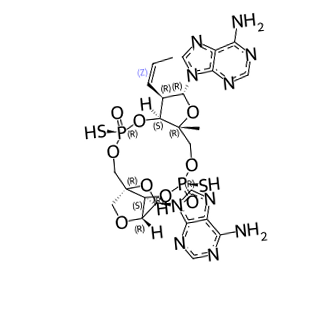 C/C=C\[C@H]1[C@H](n2cnc3c(N)ncnc32)O[C@]2(C)CO[P@@](=O)(S)O[C@H]3[C@H]4OC[C@]3(CO[P@@](=O)(S)O[C@@H]12)O[C@H]4n1cnc2c(N)ncnc21